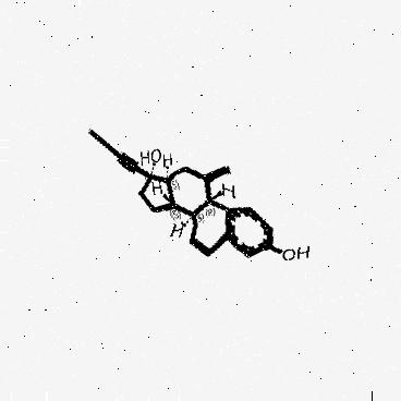 C=C1C[C@H]2[C@@H](CC[C@@]2(O)C#CC)[C@@H]2CCc3cc(O)ccc3[C@@H]12